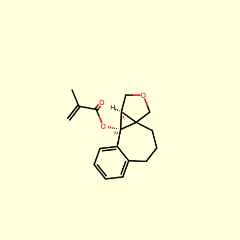 C=C(C)C(=O)O[C@@]12c3ccccc3CCCC13COC[C@@H]32